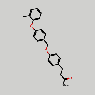 COC(=O)CCc1ccc(OCc2ccc(Oc3ccccc3C)cc2)cc1